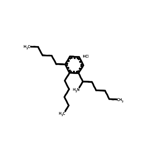 CCCCCc1cccc(C(N)CCCCC)c1CCCCC.Cl